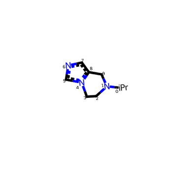 CC(C)N1CCn2cncc2C1